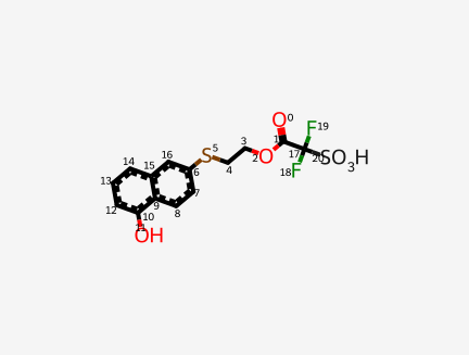 O=C(OCCSc1ccc2c(O)cccc2c1)C(F)(F)S(=O)(=O)O